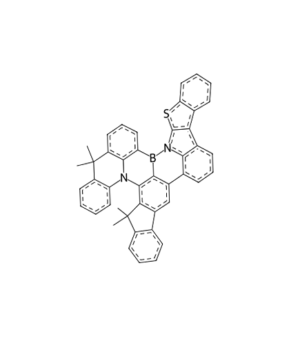 CC1(C)c2ccccc2N2c3c(cccc31)B1c3c(cc4c(c32)C(C)(C)c2ccccc2-4)-c2cccc3c4c5ccccc5sc4n1c23